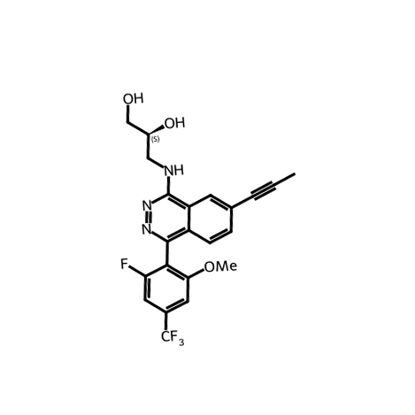 CC#Cc1ccc2c(-c3c(F)cc(C(F)(F)F)cc3OC)nnc(NC[C@H](O)CO)c2c1